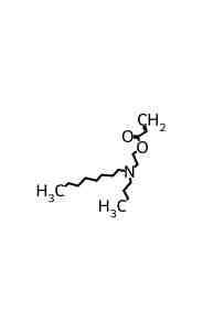 C=CC(=O)OCCN(CCCC)CCCCCCCC